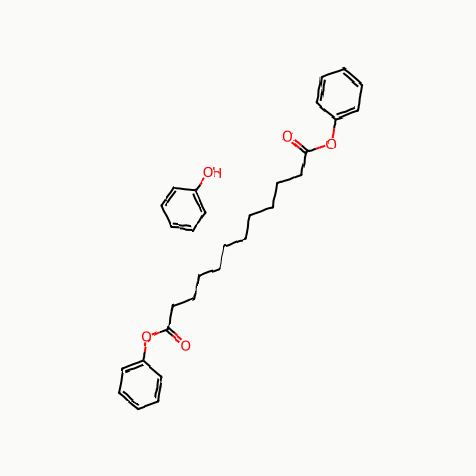 O=C(CCCCCCCCCCC(=O)Oc1ccccc1)Oc1ccccc1.Oc1ccccc1